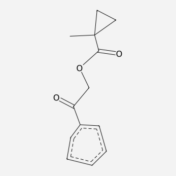 CC1(C(=O)OCC(=O)c2ccccc2)CC1